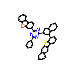 c1ccc(-c2nc(-c3cc(-c4cccc5c4sc4cc6ccccc6cc45)c4ccccc4c3)nc(-c3ccc4c(c3)oc3ccccc34)n2)cc1